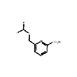 CCOC(=O)c1cccc(COC(F)F)n1